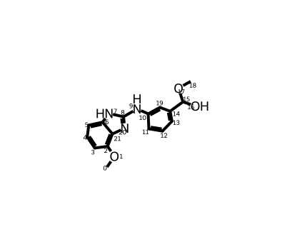 COc1cccc2[nH]c(Nc3cccc(C(O)OC)c3)nc12